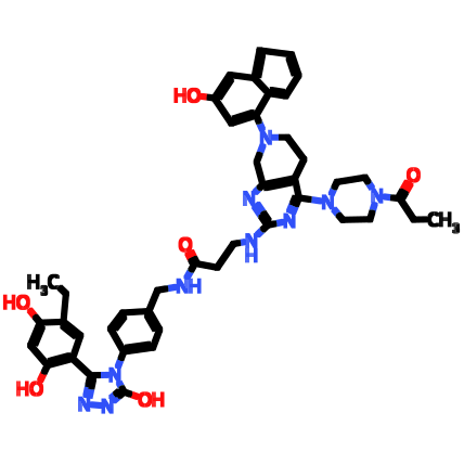 CCC(=O)N1CCN(c2nc(NCCC(=O)NCc3ccc(-n4c(O)nnc4-c4cc(CC)c(O)cc4O)cc3)nc3c2CCN(c2cc(O)cc4ccccc24)C3)CC1